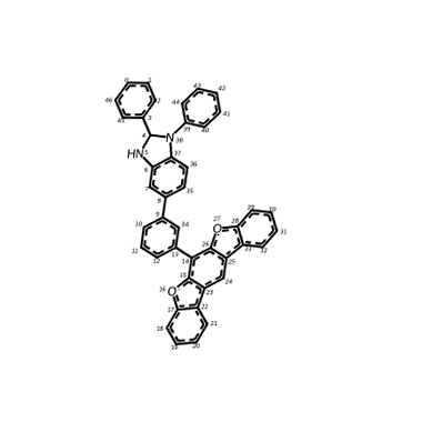 c1ccc(C2Nc3cc(-c4cccc(-c5c6oc7ccccc7c6cc6c5oc5ccccc56)c4)ccc3N2c2ccccc2)cc1